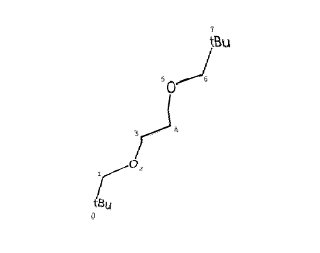 CC(C)(C)COCCOCC(C)(C)C